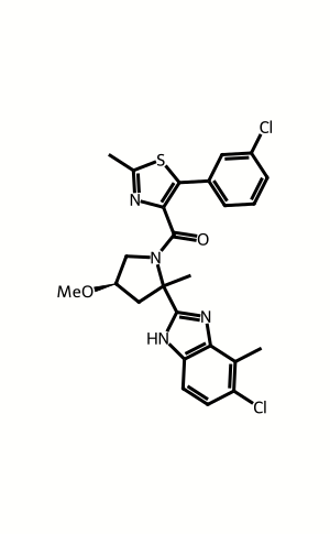 CO[C@H]1CN(C(=O)c2nc(C)sc2-c2cccc(Cl)c2)C(C)(c2nc3c(C)c(Cl)ccc3[nH]2)C1